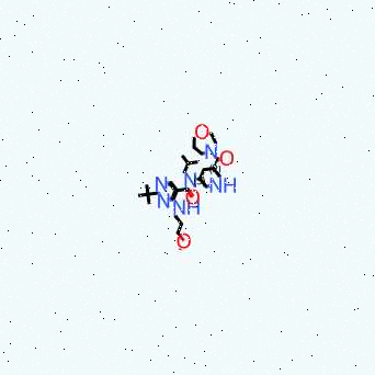 COCCCNc1nc(C(C)(C)C)ncc1C(=O)N(CC(C)C)[C@@H]1CNC[C@H](C(=O)N2CCCOCC2)C1